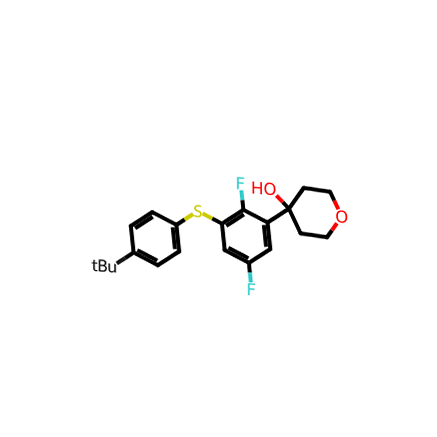 CC(C)(C)c1ccc(Sc2cc(F)cc(C3(O)CCOCC3)c2F)cc1